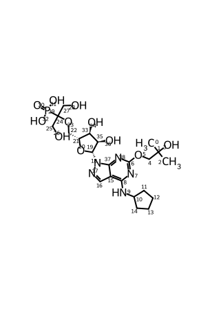 CC(C)(O)COc1nc(NC2CCCC2)c2cnn([C@@H]3O[C@H](COC(CO)(CO)P(=O)(O)O)[C@@H](O)[C@H]3O)c2n1